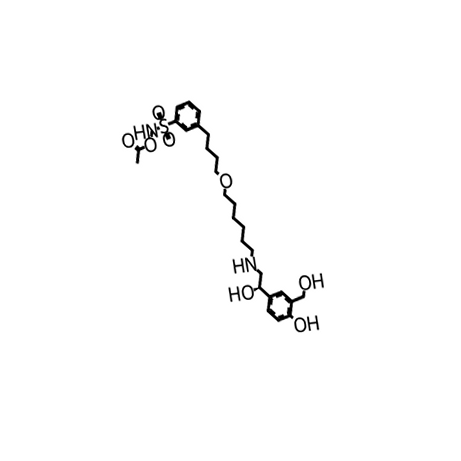 CC(=O)ONS(=O)(=O)c1cccc(CCCCOCCCCCCNC[C@H](O)c2ccc(O)c(CO)c2)c1